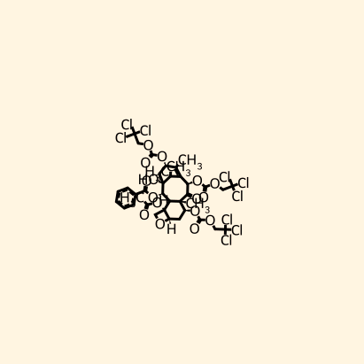 CC(=O)O[C@@]12CO[C@@H]1C[C@H](OC(=O)OCC(Cl)(Cl)Cl)[C@@]1(C)C(=O)[C@H](OC(=O)OCC(Cl)(Cl)Cl)C3=C(C)[C@@H](OC(=O)OCC(Cl)(Cl)Cl)C[C@@](O)([C@@H](OC(=O)c4ccccc4)[C@H]21)C3(C)C